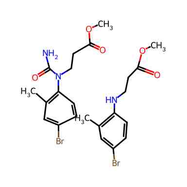 COC(=O)CCN(C(N)=O)c1ccc(Br)cc1C.COC(=O)CCNc1ccc(Br)cc1C